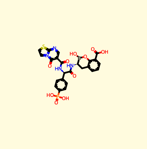 O=C(O)c1cccc2c1OB(O)[C@@H](NC(=O)[C@H](NC(=O)c1cnc3sccn3c1=O)c1ccc(P(=O)(O)O)cc1)C2